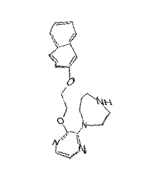 c1ccc2cc(OCCOc3nccnc3N3CCNCC3)ccc2c1